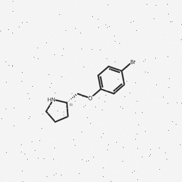 Brc1ccc(OC[C@@H]2CCCN2)cc1